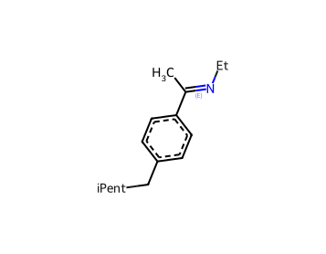 CCCC(C)Cc1ccc(/C(C)=N/CC)cc1